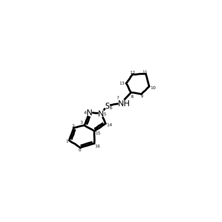 c1ccc2nn(SNC3CCCCC3)cc2c1